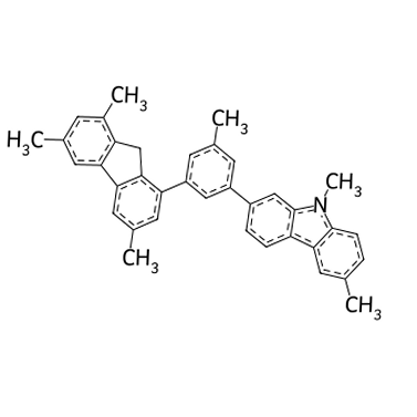 Cc1cc(-c2ccc3c4cc(C)ccc4n(C)c3c2)cc(-c2cc(C)cc3c2Cc2c(C)cc(C)cc2-3)c1